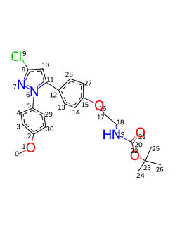 COc1ccc(-n2nc(Cl)cc2-c2ccc(OCCNC(=O)OC(C)(C)C)cc2)cc1